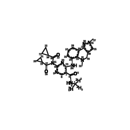 [2H]C([2H])([2H])NC(=O)c1cnc(N(C(=O)C2CC2)C(=O)C2CC2)nc1Nc1cccc2c1N(C)Cc1cn(C)nc1-2